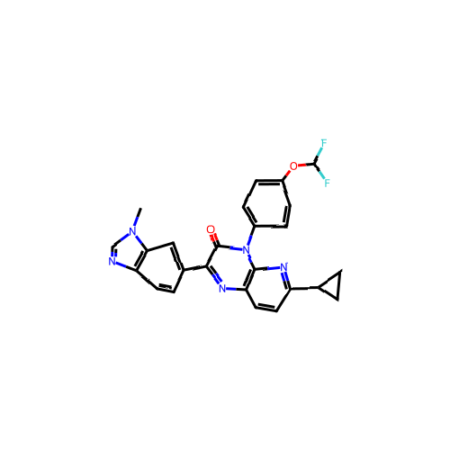 Cn1cnc2ccc(-c3nc4ccc(C5CC5)nc4n(-c4ccc(OC(F)F)cc4)c3=O)cc21